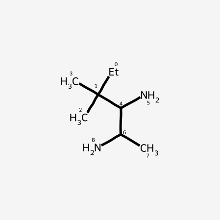 CCC(C)(C)C(N)C(C)N